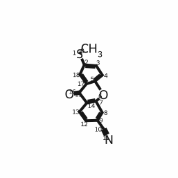 CSc1ccc2oc3cc(C#N)ccc3c(=O)c2c1